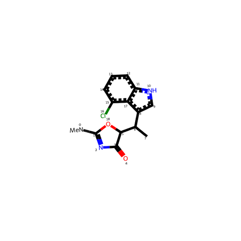 CNC1=NC(=O)C(C(C)c2c[nH]c3cccc(Cl)c23)O1